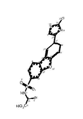 CC(C)[C@H](NS(=O)(=O)c1ccc2c3c(oc2c1)=CCC(c1csc(Cl)n1)C=3)C(=O)O